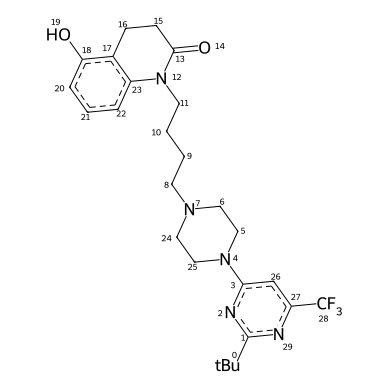 CC(C)(C)c1nc(N2CCN(CCCCN3C(=O)CCc4c(O)cccc43)CC2)cc(C(F)(F)F)n1